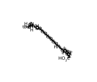 C/N=C(/NCc1ccc(OCCOCCOCCOCCOCCOCCOCCNCCCOc2c(I)cc(Oc3c(I)cc(CC(=O)O)cc3I)cc2I)cc1)NC(=O)OC(C)(C)C